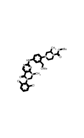 COCc1cc(Nc2ncc3c(n2)N(C)CN(c2c(Cl)cccc2Cl)C3=O)ccc1N1CCN(C(=O)OC(C)(C)C)C(C)C1